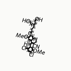 COc1cc(Nc2c(C#N)cnc3cc(OCCCN(CCO)CCO)c(OC)cc23)c(Cl)cc1Cl